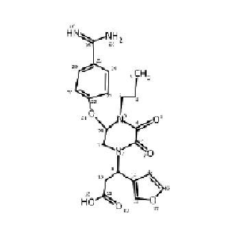 CCCN1C(=O)C(=O)N(C(CC(=O)O)c2ccoc2)CC1Oc1ccc(C(=N)N)cc1